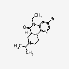 CCN1C(=O)[C@@H]2CN(C(C)C)CCN2c2ncc(Br)cc21